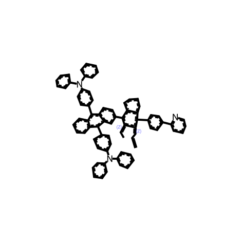 C=C/C=c1/c(-c2ccc(-c3ccccn3)cc2)c2ccccc2c(-c2ccc3c(-c4ccc(N(c5ccccc5)c5ccccc5)cc4)c4ccccc4c(-c4ccc(N(c5ccccc5)c5ccccc5)cc4)c3c2)/c1=C/C